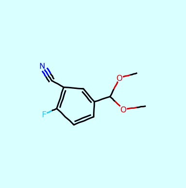 COC(OC)c1ccc(F)c(C#N)c1